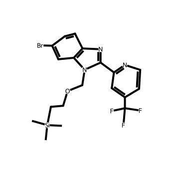 C[Si](C)(C)CCOCn1c(-c2cc(C(F)(F)F)ccn2)nc2ccc(Br)cc21